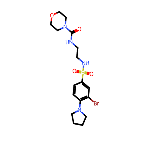 O=C(NCCNS(=O)(=O)c1ccc(N2CCCC2)c(Br)c1)N1CCOCC1